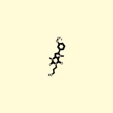 Cn1c(-c2cccc(OC(F)(F)F)c2)cc2c1c(=O)n(CCCO)c(=O)n2C